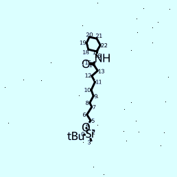 CC(C)(C)[Si](C)(C)OCCCCCCCCCC(=O)NC1CCCCC1